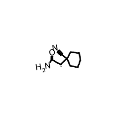 N#CC1([CH]C(N)=O)CCCCC1